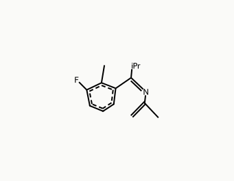 C=C(C)/N=C(\c1cccc(F)c1C)C(C)C